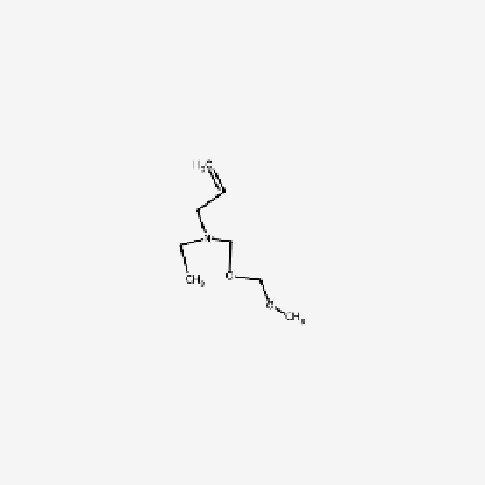 C=CCN(CC)COCOC